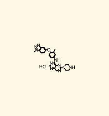 Cc1cc(Nc2ncnc3cnc(N4CCNCC4)nc23)ccc1Oc1ccc2c(c1)nnn2C.Cl